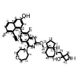 C#Cc1c(F)ccc2cc(O)cc(-c3ncc4c(N5CCCOCC5)nc(OC[C@]56CCC[C@H]5N(CC5(O)CNC5)CCC6)nc4c3F)c12